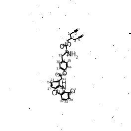 C#CCC(CC#C)COC(=O)C(N)Cc1ccc(OC(=O)Cc2ccccc2Nc2c(Cl)cccc2Cl)cc1